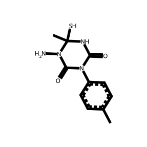 Cc1ccc(N2C(=O)NC(C)(S)N(N)C2=O)cc1